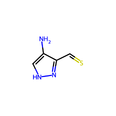 Nc1c[nH]nc1C=S